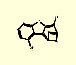 Oc1c2cc(c3c1oc1cccc(O)c13)C2